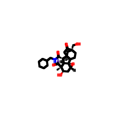 C[C@]1(C(=O)I)[C@H]2[C@H](C(=O)NCC3CCCCC3)[C@@]34CC(=O)[C@@](CO)(CC[C@H]3[C@]23O[C@@H]3C[C@@H]1O)C4